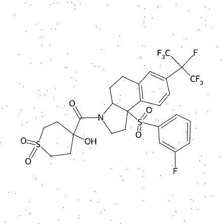 O=C(N1CCC2(S(=O)(=O)c3cccc(F)c3)c3ccc(C(F)(C(F)(F)F)C(F)(F)F)cc3CCC12)C1(O)CCS(=O)(=O)CC1